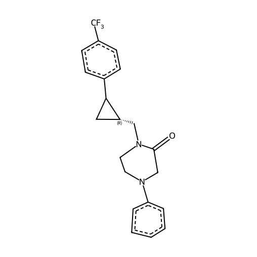 O=C1CN(c2ccccc2)CCN1C[C@@H]1CC1c1ccc(C(F)(F)F)cc1